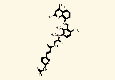 CCC(=O)Nc1ccc(/C=C/C(=O)NCC(=O)N(C)c2ccc(C)c(COc3cccc4c(C)cc(C)nc34)c2C)cn1